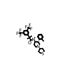 Cc1ccccc1[C@@H]1CN(C2CCSCC2)CC[C@H]1N(C)C(=O)C(C)(C)c1cc(C(F)(F)F)cc(C(F)(F)F)c1